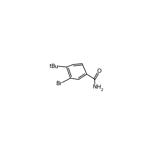 CC(C)(C)c1ccc(C(N)=O)cc1Br